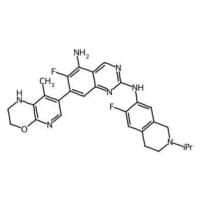 Cc1c(-c2cc3nc(Nc4cc5c(cc4F)CCN(C(C)C)C5)ncc3c(N)c2F)cnc2c1NCCO2